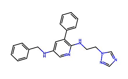 c1ccc(CNc2cnc(NCCn3cncn3)c(-c3ccccc3)c2)cc1